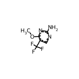 COc1nc(N)ncc1C(F)(F)F